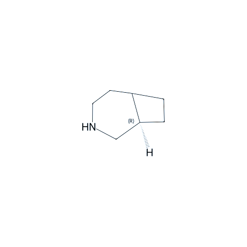 C1CC2CC[C@H]2CN1